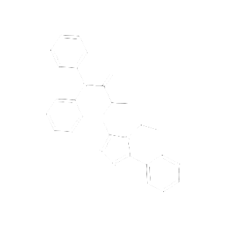 CCn1c(SC(C)C(=O)N(c2ccccc2)c2ccccc2)nnc1-c1cccnc1